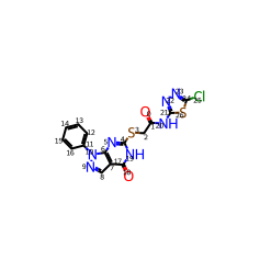 O=C(CSc1nc2c(cnn2-c2ccccc2)c(=O)[nH]1)Nc1nnc(Cl)s1